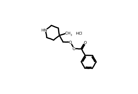 CC1(COOC(=O)c2ccccc2)CCNCC1.Cl